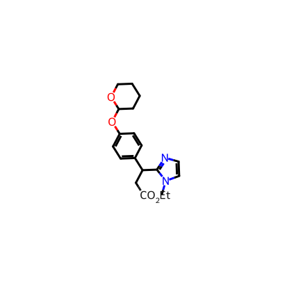 CCOC(=O)CC(c1ccc(OC2CCCCO2)cc1)c1nccn1C